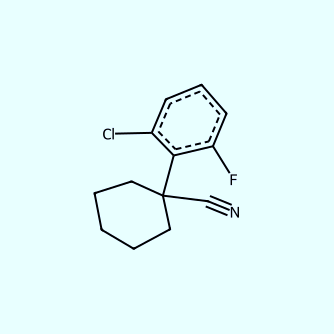 N#CC1(c2c(F)cccc2Cl)CCCCC1